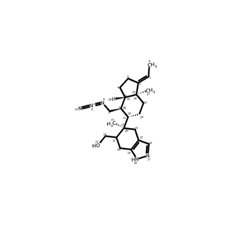 CC=C1CC[C@H]2[C@H](CN=[N+]=[N-])[C@@H]([C@@]3(C)Cc4cn[nH]c4CC3CO)CC[C@]12C